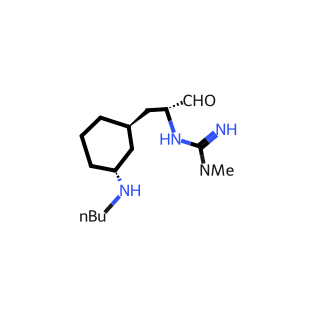 CCCCN[C@@H]1CCC[C@@H](C[C@H](C=O)NC(=N)NC)C1